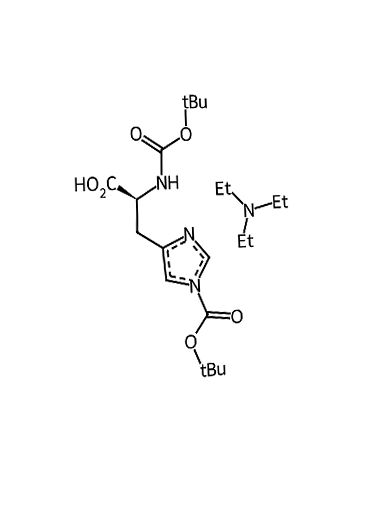 CC(C)(C)OC(=O)N[C@@H](Cc1cn(C(=O)OC(C)(C)C)cn1)C(=[18O])[18OH].CCN(CC)CC